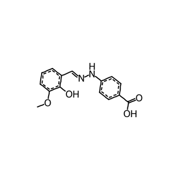 COc1cccc(/C=N/Nc2ccc(C(=O)O)cc2)c1O